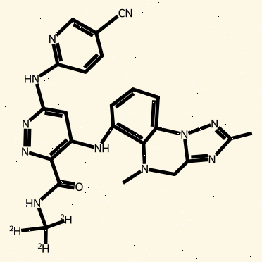 [2H]C([2H])([2H])NC(=O)c1nnc(Nc2ccc(C#N)cn2)cc1Nc1cccc2c1N(C)Cc1nc(C)nn1-2